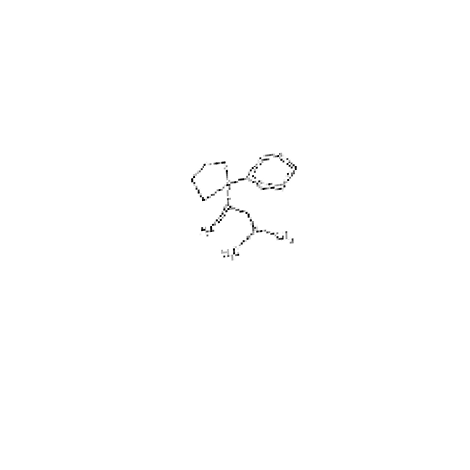 C=C(CN(C)C)C1(c2ccccc2)CCCC1